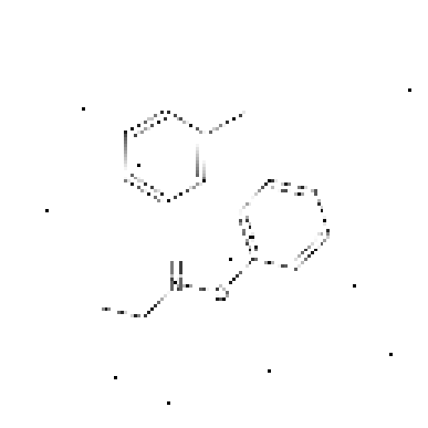 CCNOc1ccccc1.Cc1ccccc1